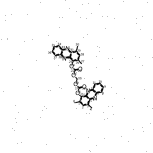 Cc1cc(C)c2nc3ccccc3nc2c1OC(=O)OCOC(=O)Oc1c(C)cc(C)c2nc3ccccc3nc12